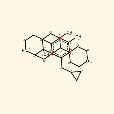 Oc1cc(CC2CC2)c2c(c1)C13CCNC(C2)C1(O)CC(N1CCOCC1)C(O)C3